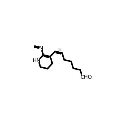 C=NC1=C(/C=C\CCCCC=O)CCCN1